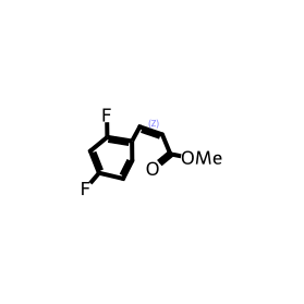 COC(=O)/C=C\c1ccc(F)cc1F